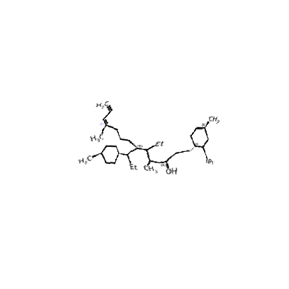 C=C/C=C(/C)CCC[C@@H](C(CC)C(C)[C@H](O)CC[C@@H]1CC[C@@H](C)CC1CCC)C(CC)[C@H]1CC[C@@H](C)CC1